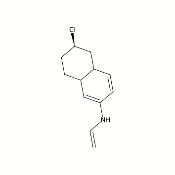 C=CNC1=CC2CC[C@@H](Cl)CC2C=C1